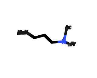 CCCN(CCCNC)C(C)=O